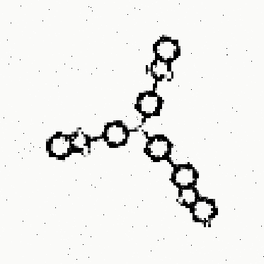 c1ccc2oc(-c3ccc(N(c4ccc(-c5ccc6c(c5)sc5cnccc56)cc4)c4ccc(-c5nc6ccccc6o5)cc4)cc3)nc2c1